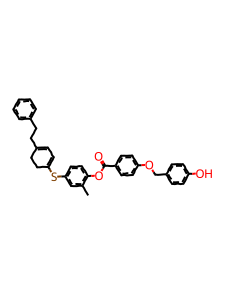 Cc1cc(SC2=CC=C(CCc3ccccc3)CC2)ccc1OC(=O)c1ccc(OCc2ccc(O)cc2)cc1